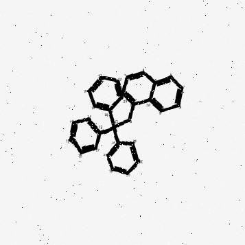 [CH](c1cccc2ccccc12)C(c1ccccc1)(c1ccccc1)c1ccccc1